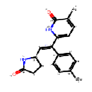 CC(=O)c1ccc(/C(=C/[C@H]2CCC(=O)N2)c2ccc(C(C)(C)C)cc2)[nH]c1=O